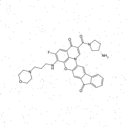 N[C@H]1CCN(C(=O)c2cn3c4cc5c(cc4oc4c(NCCCN6CCOCC6)c(F)cc(c2=O)c43)c(=O)c2ccccc25)C1